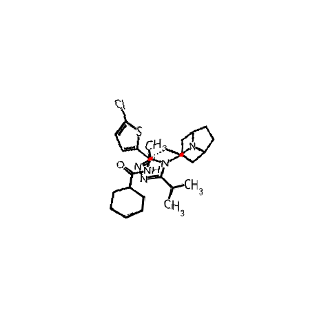 Cc1nnc(C(C)C)n1C1CC2CCC(C1)N2CC[C@H](NC(=O)C1CCCCC1)c1ccc(Cl)s1